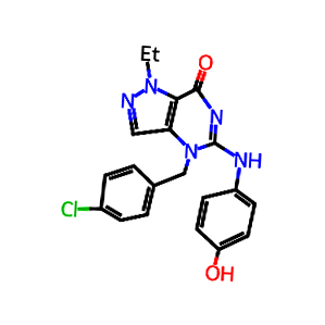 CCn1ncc2c1c(=O)nc(Nc1ccc(O)cc1)n2Cc1ccc(Cl)cc1